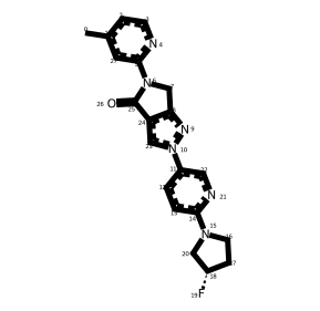 Cc1ccnc(N2Cc3nn(-c4ccc(N5CC[C@H](F)C5)nc4)cc3C2=O)c1